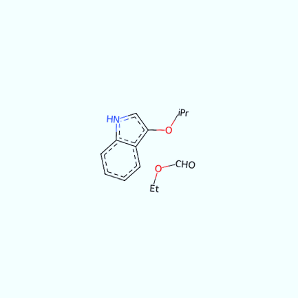 CC(C)Oc1c[nH]c2ccccc12.CCOC=O